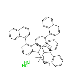 Cl.Cl.[CH3][Hf]([CH3])(=[SiH2])([CH]1C(c2ccccc2)=Cc2c(-c3cccc4ccccc34)cccc21)[CH]1C(c2ccccc2)=Cc2c(-c3cccc4ccccc34)cccc21